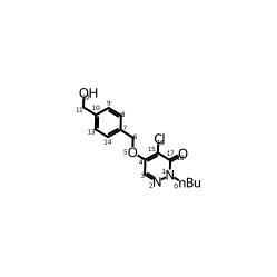 CCCCn1ncc(OCc2ccc(CO)cc2)c(Cl)c1=O